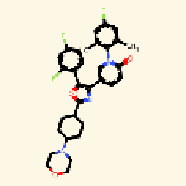 Cc1cc(F)cc(C)c1-n1cc(-c2nc(C3CCC(N4CCOCC4)CC3)oc2-c2ccc(F)cc2F)ccc1=O